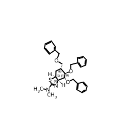 CN(C)C1=N[C@@H]2[C@@H](OCc3ccccc3)[C@H](OCc3ccccc3)[C@@H](COCc3ccccc3)C[C@@H]2S1